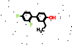 CCc1cc(-c2ccc(F)cc2F)ccc1O